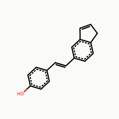 Oc1ccc(C=Cc2ccc3c(c2)C=CC3)cc1